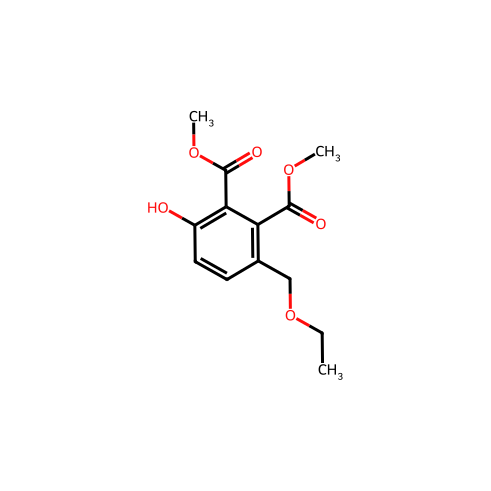 CCOCc1ccc(O)c(C(=O)OC)c1C(=O)OC